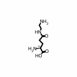 NCCNC(=O)CC[C@H](N)C(=O)O